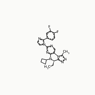 CC[C@@H]1c2nnc(C)n2-c2cnc(-n3ccnc3-c3ccc(F)c(F)c3)nc2N1C1CCC1